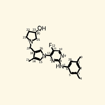 Cc1cc(C)cc(Nc2ncc(F)c(-n3cc(C)c(CN4CC[C@@H](O)C4)c3)n2)c1